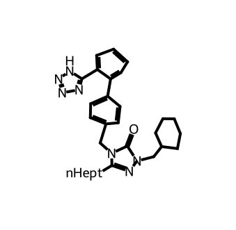 CCCCCCCc1nn(CC2CCCCC2)c(=O)n1Cc1ccc(-c2ccccc2-c2nnn[nH]2)cc1